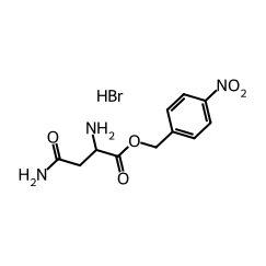 Br.NC(=O)CC(N)C(=O)OCc1ccc([N+](=O)[O-])cc1